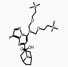 C[Si](C)(C)CCOCN(COCC[Si](C)(C)C)c1cc(C2CC3CCC(C2)N3C(=O)O)nc2c(I)cnn12